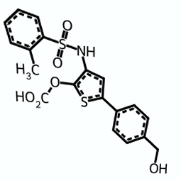 Cc1ccccc1S(=O)(=O)Nc1cc(-c2ccc(CO)cc2)sc1OC(=O)O